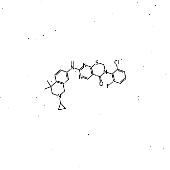 CC1(C)CN(C2CC2)Cc2cc(Nc3ncc4c(n3)SCN(c3c(F)cccc3Cl)C4=O)ccc21